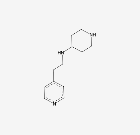 c1cc(CCNC2CCNCC2)ccn1